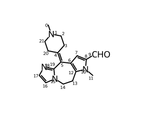 CN1CCC(=C2c3cc(C=O)n(C)c3CCn3ccnc32)CC1